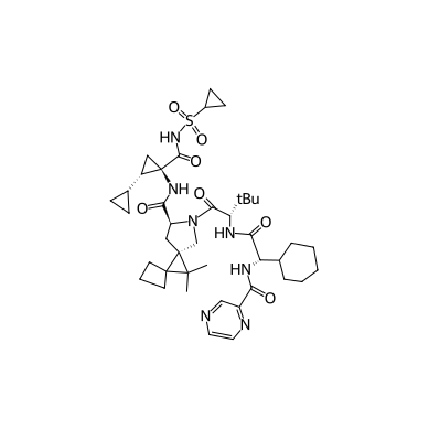 CC(C)(C)[C@H](NC(=O)[C@@H](NC(=O)c1cnccn1)C1CCCCC1)C(=O)N1C[C@]2(C[C@H]1C(=O)N[C@]1(C(=O)NS(=O)(=O)C3CC3)C[C@H]1C1CC1)C(C)(C)C21CCC1